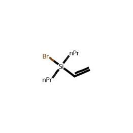 C=C[Si](Br)(CCC)CCC